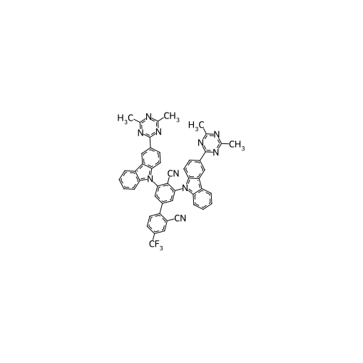 Cc1nc(C)nc(-c2ccc3c(c2)c2ccccc2n3-c2cc(-c3ccc(C(F)(F)F)cc3C#N)cc(-n3c4ccccc4c4cc(-c5nc(C)nc(C)n5)ccc43)c2C#N)n1